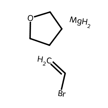 C1CCOC1.C=CBr.[MgH2]